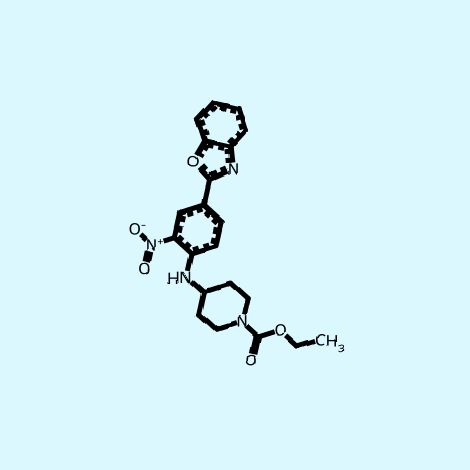 CCOC(=O)N1CCC(Nc2ccc(-c3nc4ccccc4o3)cc2[N+](=O)[O-])CC1